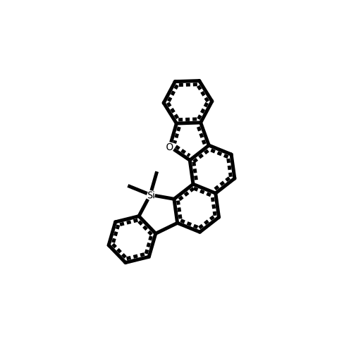 C[Si]1(C)c2ccccc2-c2ccc3ccc4c5ccccc5oc4c3c21